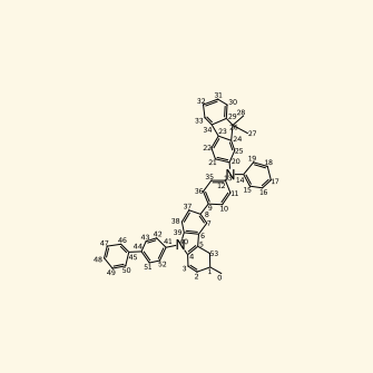 CC1C=Cc2c(c3cc(-c4ccc(N(c5ccccc5)c5ccc6c(c5)C(C)(C)c5ccccc5-6)cc4)ccc3n2-c2ccc(-c3ccccc3)cc2)C1